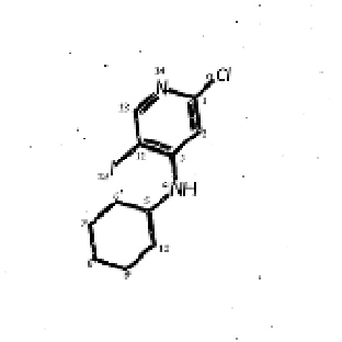 Clc1cc(NC2CCCCC2)c(I)cn1